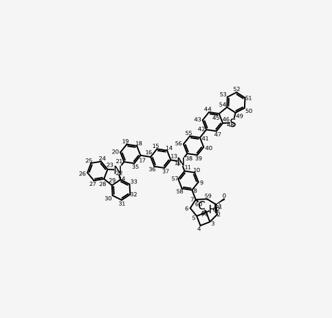 C[C@H]1CC2CC3CC(c4ccc(N(c5ccc(-c6cccc(-n7c8ccccc8c8ccccc87)c6)cc5)c5ccc(-c6ccc7c(c6)sc6ccccc67)cc5)cc4)(C1)C[C@H]23